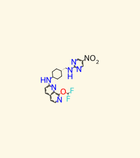 O=[N+]([O-])c1cnc(NC[C@H]2CC[C@H](Nc3ccc4ccnc(OC(F)F)c4n3)CC2)nc1